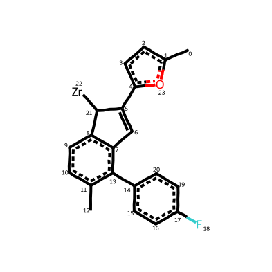 Cc1ccc(C2=Cc3c(ccc(C)c3-c3ccc(F)cc3)[CH]2[Zr])o1